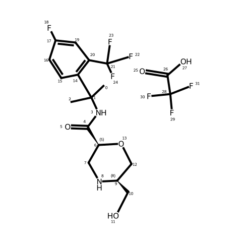 CC(C)(NC(=O)[C@@H]1CN[C@H](CO)CO1)c1ccc(F)cc1C(F)(F)F.O=C(O)C(F)(F)F